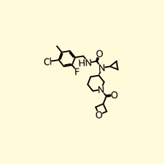 Cc1cc(CNC(=O)N(C2CC2)[C@@H]2CCCN(C(=O)C3COC3)C2)c(F)cc1Cl